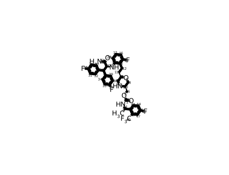 C[C@@H](NC(=O)OC[C@@H]1CO[C@H](CCc2c(F)cccc2N[C@H](C(N)=O)C(c2ccc(F)cc2)c2ccc(F)cc2)CN1)c1ccc(F)cc1C(F)(F)F